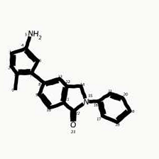 Cc1ccc(N)cc1-c1ccc2c(c1)CN(c1ccccc1)C2=O